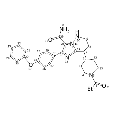 CCC(=O)N1CCC(C2CCNn3c2nc(-c2ccc(Oc4ccccc4)cc2)c3C(N)=O)CC1